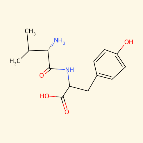 CC(C)[C@H](N)C(=O)NC(Cc1ccc(O)cc1)C(=O)O